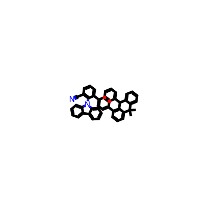 CC1(C)c2ccccc2C(c2ccccc2)c2c(-c3ccc(-c4cccc(C#N)c4-n4c5ccccc5c5ccccc54)cc3)cccc21